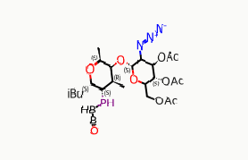 CC[C@H](C)C1O[C@@H](C)C(O[C@H]2OC(COC(C)=O)[C@@H](OC(C)=O)C(OC(C)=O)C2N=[N+]=[N-])[C@@H](C)[C@@H]1PBB=O